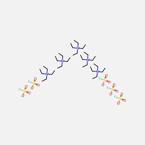 CC[N+](CC)(CC)CC.CC[N+](CC)(CC)CC.CC[N+](CC)(CC)CC.CC[N+](CC)(CC)CC.CC[N+](CC)(CC)CC.O=S(=O)([O-])F.O=S(=O)([O-])F.O=S(=O)([O-])F.O=S(=O)([O-])F.O=S(=O)([O-])F